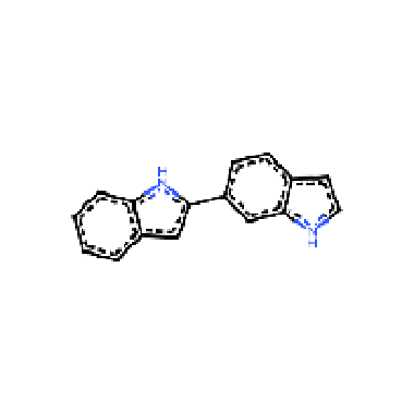 c1ccc2[nH]c(-c3ccc4cc[nH]c4c3)cc2c1